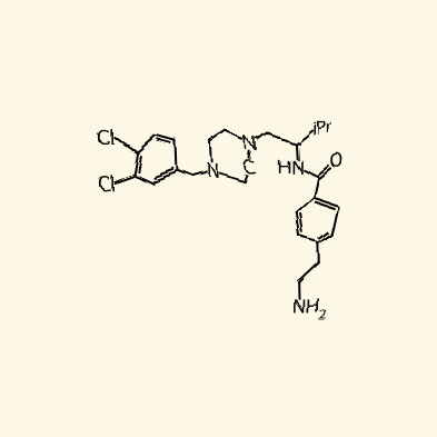 CC(C)C(CN1CCN(Cc2ccc(Cl)c(Cl)c2)CC1)NC(=O)c1ccc(CCN)cc1